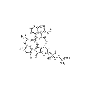 C#CC(C)Oc1cc(N2C(=O)C3=C(CCCC3)C2=O)c(F)cc1Cl.CCOCN(C(=O)CCl)c1c(C)cccc1CC.CP(=O)(O)CCC(N)C(=O)O